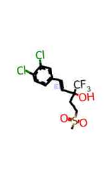 CS(=O)(=O)CCC(O)(/C=C/c1ccc(Cl)c(Cl)c1)C(F)(F)F